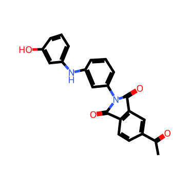 CC(=O)c1ccc2c(c1)C(=O)N(c1cccc(Nc3cccc(O)c3)c1)C2=O